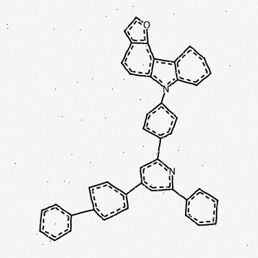 c1ccc(-c2ccc(-c3cc(-c4ccccc4)nc(-c4ccc(-n5c6ccccc6c6c7occc7ccc65)cc4)c3)cc2)cc1